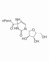 CCCCCC(=O)C1(N)C=CN([C@@H]2O[C@H](CO)[C@@H](O)[C@H]2O)C(=O)N1